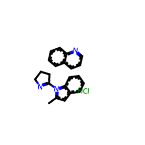 Cc1cc2ccccc2n1C1=NCCC1.Cl.c1ccc2ncccc2c1